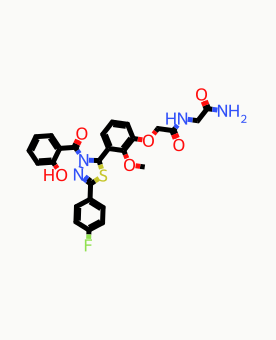 COc1c(OCC(=O)NCC(N)=O)cccc1C1SC(c2ccc(F)cc2)=NN1C(=O)c1ccccc1O